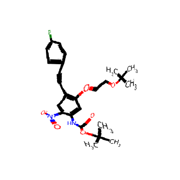 CC(C)(C)OCCOc1cc(NC(=O)OC(C)(C)C)c([N+](=O)[O-])cc1C#Cc1ccc(F)cc1